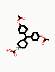 CC(=O)Oc1ccc(C(=C2CCCCC2)c2ccc(OC(C)=O)cc2)cc1.O=C(O)Cl